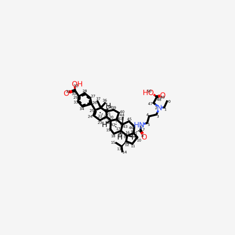 CCN(CCCNC(=O)[C@]12CC[C@@H](C(C)C)[C@@H]1[C@H]1CC[C@@H]3[C@@]4(C)CC=C(c5ccc(C(=O)O)cc5)C(C)(C)[C@@H]4CC[C@@]3(C)[C@]1(C)CC2)CC(=O)O